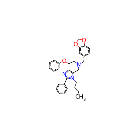 CCCCn1c(CN(CCOc2ccccc2)Cc2ccc3c(c2)OCO3)cnc1-c1ccccc1